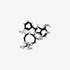 B[PH]1(O)OC[C@H](C)O[C@@H](n2c(-c3ccccc3)nc3c(N)ncnc32)[C@@H](O)CO1